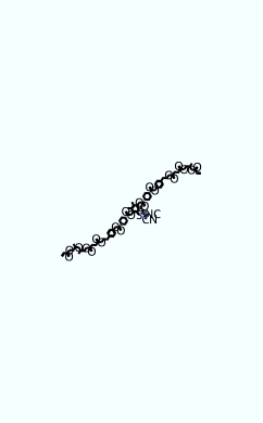 [C-]#[N+]/C(C#N)=C1\Sc2c(OC(=O)[C@H]3CC[C@H](C(=O)Oc4ccc(CCOC(=O)CCC(=O)OCC(C)OC(=O)C=C)cc4)CC3)c(C)c(C)c(OC(=O)[C@H]3CC[C@H](C(=O)Oc4ccc(CCOC(=O)CCC(=O)OCC(C)OC(C)COC(=O)C=C)cc4)CC3)c2S1